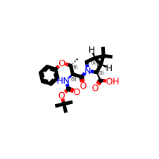 C[C@@H](Oc1ccccc1)[C@H](NC(=O)OC(C)(C)C)C(=O)N1C[C@H]2[C@@H]([C@H]1C(=O)O)C2(C)C